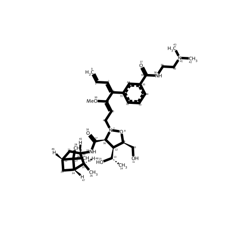 C=C/C=C(\C(=C\CN1O[C@@H](CO)[C@@H]([C@H](C)O)[C@H]1C(=O)N[C@H]1C[C@H]2C[C@@H]([C@@H]1C)C2(C)C)OC)c1cccc(C(=O)NCCN(C)C)c1